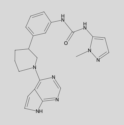 Cn1nccc1NC(=O)Nc1cccc(C2CCCN(c3ncnc4[nH]ccc34)C2)c1